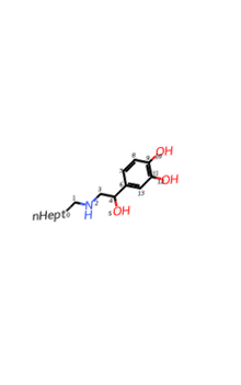 CCCCCCCCNCC(O)c1ccc(O)c(O)c1